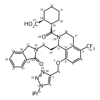 CC(C)n1cc(COc2ccc(C(F)(F)F)c3c2[C@@H](CCN2Cc4ccccc4C2=O)N(C(=O)[C@@H]2CCCC[C@@H]2C(=O)O)CC3)nn1